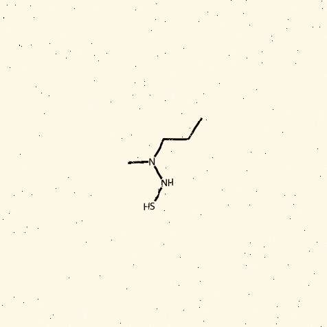 CCCN(C)NS